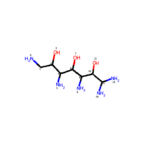 NCC(O)C(N)C(O)C(N)C(O)C(N)N